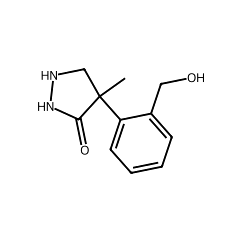 CC1(c2ccccc2CO)CNNC1=O